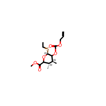 C=CCOC(=O)OC1[C@@H](C)[C@H](C)C(C(=O)OC)O[C@H]1SCC